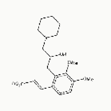 COc1ccc(C=CC(=O)O)c(CC(O)CN2CCCCC2)c1OC